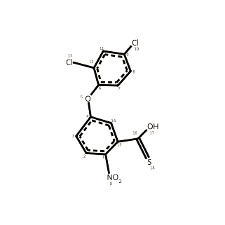 O=[N+]([O-])c1ccc(Oc2ccc(Cl)cc2Cl)cc1C(O)=S